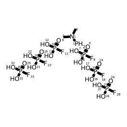 CN(C)P.O=P(O)(O)F.O=P(O)(O)F.O=P(O)(O)F.O=P(O)(O)F.O=P(O)(O)F.O=P(O)(O)F